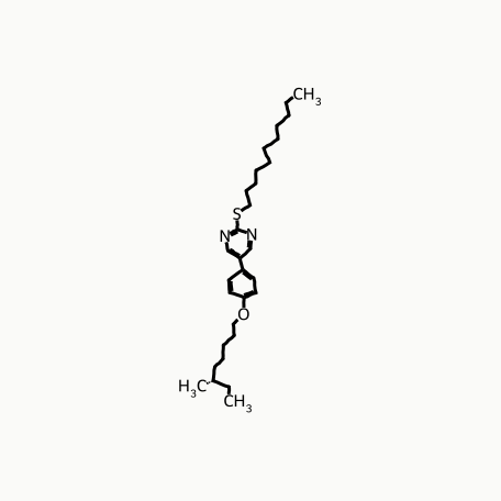 CCCCCCCCCCCSc1ncc(-c2ccc(OCCCCC[C@@H](C)CC)cc2)cn1